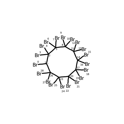 Br[C]1C(Br)(Br)C(Br)(Br)C(Br)(Br)C(Br)(Br)C(Br)(Br)C(Br)(Br)C(Br)(Br)C(Br)(Br)C1(Br)Br